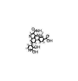 NC(=O)c1cnc2cc(-c3ccnc(O)c3O)ccc2c1Nc1cccc(C(=O)O)c1